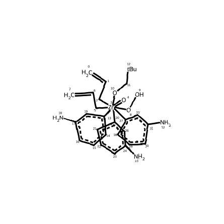 C=C[CH2][Zr](=[O])([CH2]C=C)([O]O)([O]CC(C)(C)C)([c]1cccc(N)c1)([c]1cccc(N)c1)[c]1cccc(N)c1